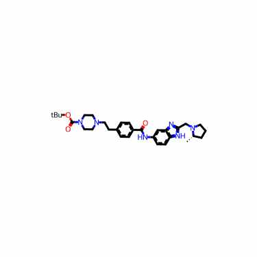 C[C@H]1CCCN1Cc1nc2cc(NC(=O)c3ccc(CCN4CCN(C(=O)OC(C)(C)C)CC4)cc3)ccc2[nH]1